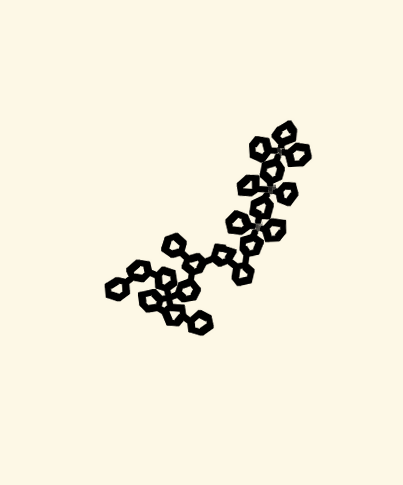 c1ccc(-c2cccc(-c3cccc(C4(c5cccc(-c6cc(-c7ccccc7)cc(-c7cccc(-c8ccccc8-c8ccc([Si](c9ccccc9)(c9ccccc9)c9ccc([Si](c%10ccccc%10)(c%10ccccc%10)c%10ccc([Si](c%11ccccc%11)(c%11ccccc%11)c%11ccccc%11)cc%10)cc9)cc8)c7)c6)c5)c5ccccc5-c5ccc(-c6ccccc6)cc54)c3)c2)cc1